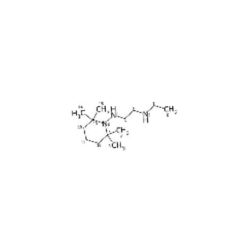 CCNCCNN1C(C)(C)CCCC1(C)C